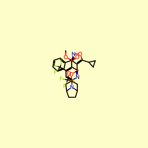 COC(=O)c1cnc(N2C3CCC2CC(OCc2c(-c4ccccc4OC(F)(F)F)noc2C2CC2)C3)cc1C(F)(F)F